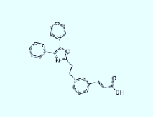 O=C(O)C=Cc1cccc(CCc2nc(-c3ccccc3)c(-c3ccccc3)o2)c1